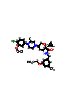 C[C@H]1CN(C2CC[C@@](C(=O)NCc3cc(OCC(=O)O)cc(C(F)(F)F)c3)(C3CC3)OC2)CCN1c1ccc(F)c(OC=O)c1